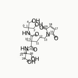 CC(CO)(CO)NC(=O)C(C)(CCCN1C(=O)C=CC1=O)C(=O)NC(C)(CO)CO